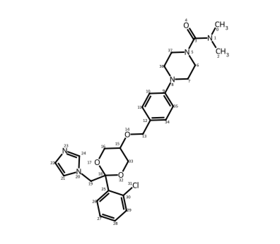 CN(C)C(=O)N1CCN(c2ccc(COC3COC(Cn4ccnc4)(c4ccccc4Cl)OC3)cc2)CC1